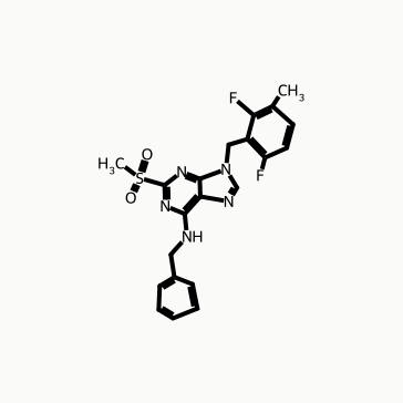 Cc1ccc(F)c(Cn2cnc3c(NCc4ccccc4)nc(S(C)(=O)=O)nc32)c1F